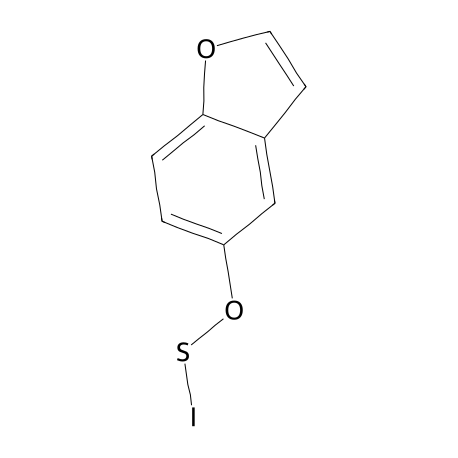 ISOc1ccc2occc2c1